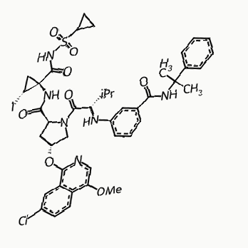 COc1cnc(O[C@@H]2C[C@@H](C(=O)N[C@]3(C(=O)NS(=O)(=O)C4CC4)C[C@H]3I)N(C(=O)[C@@H](Nc3cccc(C(=O)NC(C)(C)c4ccccc4)c3)C(C)C)C2)c2cc(Cl)ccc12